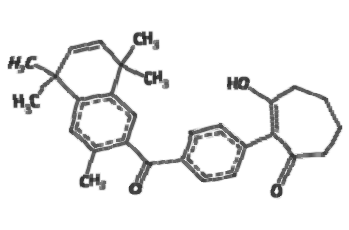 Cc1cc2c(cc1C(=O)c1ccc(C3=C(O)CCCCC3=O)cc1)C(C)(C)C=CC2(C)C